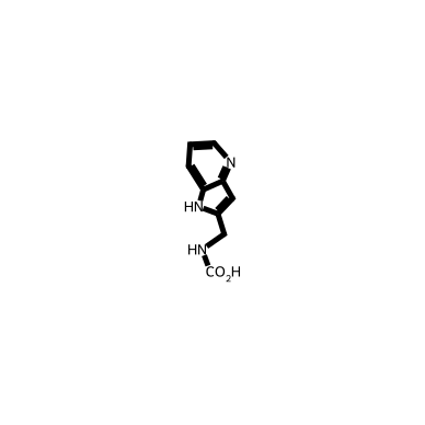 O=C(O)NCc1cc2ncccc2[nH]1